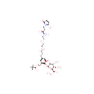 CC(C)(C)C(=O)OCc1cc(CCCOCCOCCNC(=O)CCN2C(=O)C=CC2=O)ccc1OC1OC(C(=O)O)[C@@H](O)[C@H](O)[C@H]1O